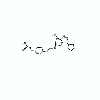 NC(=O)CCc1ccc(CCNc2nc(N)c3ncn(C4CCCO4)c3n2)cc1